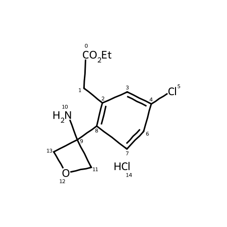 CCOC(=O)Cc1cc(Cl)ccc1C1(N)COC1.Cl